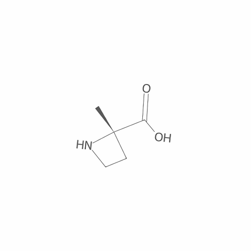 C[C@@]1(C(=O)O)CCN1